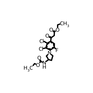 CCOC(=O)CC(=O)c1cc(F)c(N2CCC(NC(=O)OCC)C2)c(Cl)c1Cl